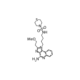 COCCc1nc2c(N)nc3ccccc3c2n1CCCCNS(=O)(=O)N1CCSCC1